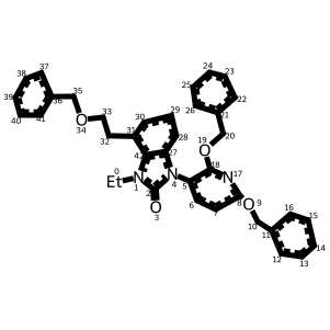 CCn1c(=O)n(-c2ccc(OCc3ccccc3)nc2OCc2ccccc2)c2cccc(CCOCc3ccccc3)c21